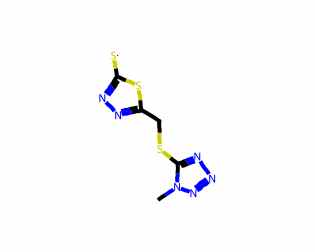 Cn1nnnc1SCc1nnc([S])s1